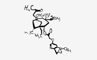 C=C[C@]1(C)C[C@@H](OC(=O)COc2cnc3c(c2)B(O)OC3)[C@@]2(CC)C[C@](CCC(C)=O)(CC[C@H]2C)[C@@H](C)[C@@H]1O